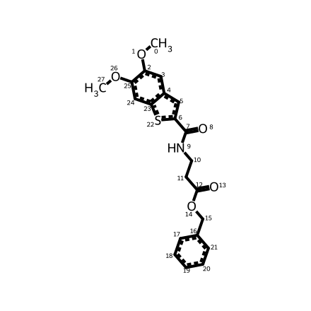 COc1cc2cc(C(=O)NCCC(=O)OCc3ccccc3)sc2cc1OC